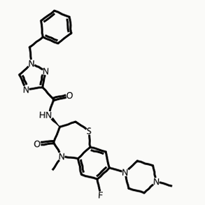 CN1CCN(c2cc3c(cc2F)N(C)C(=O)[C@@H](NC(=O)c2ncn(Cc4ccccc4)n2)CS3)CC1